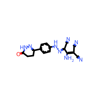 N#CC(=NNc1ccc(C2=NNC(=O)CC2)cc1)C(N)=C(C#N)C#N